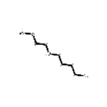 CCCOCCOCCCC[S]